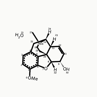 COc1ccc2c3c1O[C@H]1[C@@H](O)C=C[C@H]4[C@@H](C2)N(C)CC[C@@]341.O